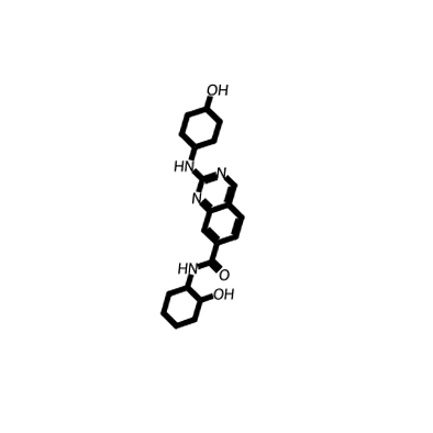 O=C(NC1CCCCC1O)c1ccc2cnc(NC3CCC(O)CC3)nc2c1